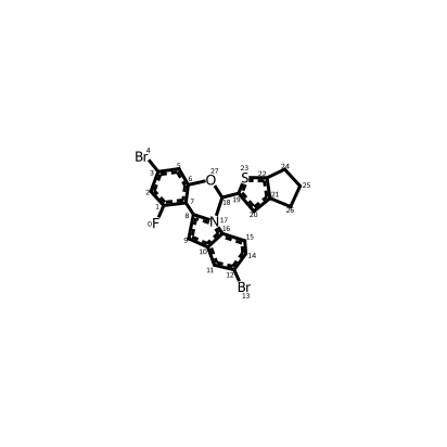 Fc1cc(Br)cc2c1-c1cc3cc(Br)ccc3n1C(c1cc3c(s1)CCC3)O2